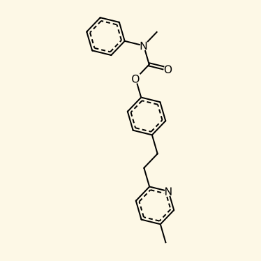 Cc1ccc(CCc2ccc(OC(=O)N(C)c3ccccc3)cc2)nc1